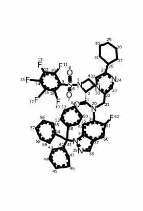 O=C([C@H]1CCN1S(=O)(=O)c1c(F)c(F)c(F)c(F)c1F)N(Cc1cnc(C2CCCCC2)cn1)c1cc2c(cnn2C(c2ccccc2)(c2ccccc2)c2ccccc2)cc1F